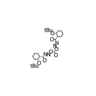 CC(C)(C)Oc1ccccc1C(=O)N=NOC(=O)ON=NC(=O)c1ccccc1OC(C)(C)C